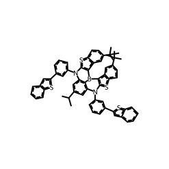 CC(C)c1cc2c3c(c1)N(c1cccc(-c4cc5ccccc5s4)c1)c1sc4ccc(C(C)(C)C)cc4c1B3c1c(sc3ccc(C(C)(C)C)cc13)N2c1cccc(-c2cc3ccccc3s2)c1